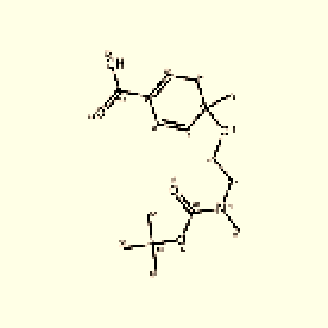 CN(CCOC1(C)C=CC(C(=O)O)=CC1)C(=O)OC(C)(C)C